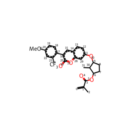 C=C(C)C(=O)OC1CCC(Oc2ccc3cc(-c4ccc(OC)cc4C(F)(F)F)c(=O)oc3c2)C1C